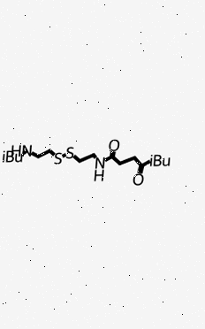 CCC(C)NCCSSCCNC(=O)CCC(=O)C(C)CC